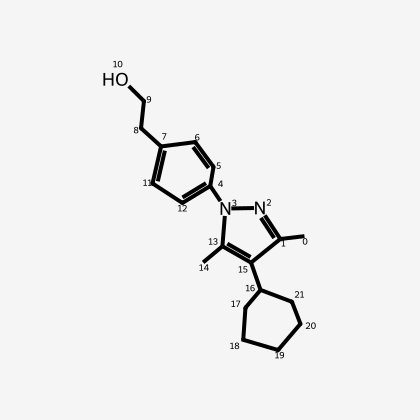 Cc1nn(-c2ccc(CCO)cc2)c(C)c1C1CCCCC1